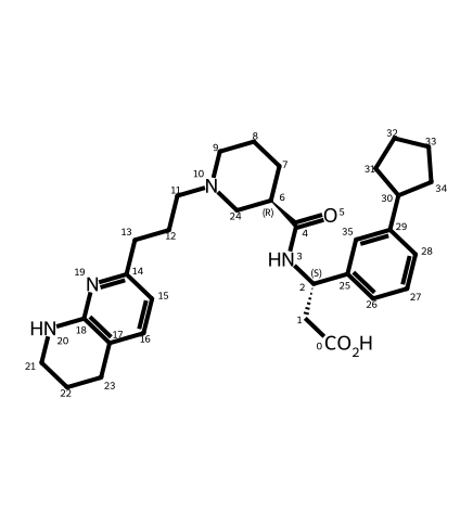 O=C(O)C[C@H](NC(=O)[C@@H]1CCCN(CCCc2ccc3c(n2)NCCC3)C1)c1cccc(C2CCCC2)c1